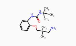 CC(C)(CN)COc1ccccc1NC(=O)NC(C)(C)C